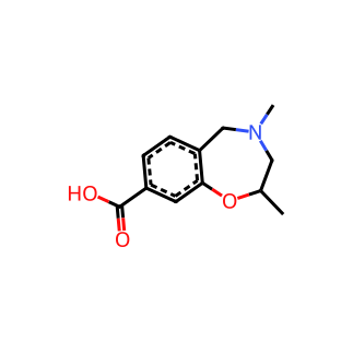 CC1CN(C)Cc2ccc(C(=O)O)cc2O1